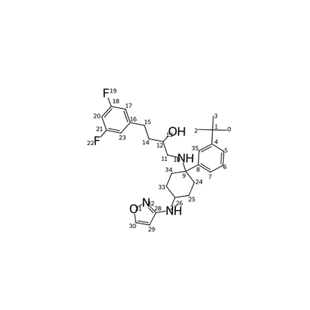 CC(C)(C)c1cccc(C2(NCC(O)CCc3cc(F)cc(F)c3)CCC(Nc3ccon3)CC2)c1